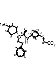 CO[C@H]1CC[C@H](N(CCc2ccccc2)C(=O)Nc2ncc(SCC(=O)O)s2)CC1